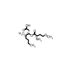 CCCC[C@H](C)[C@H](CC(=O)O)OC(=O)[C@@H](N)CCOC